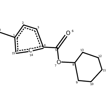 Cc1ccc(C(=O)OC2CCCCC2)cc1